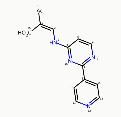 CC(=O)C(=CNc1ccnc(-c2ccncc2)n1)C(=O)O